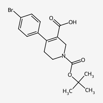 CC(C)(C)OC(=O)N1CCC(c2ccc(Br)cc2)=C(C(=O)O)C1